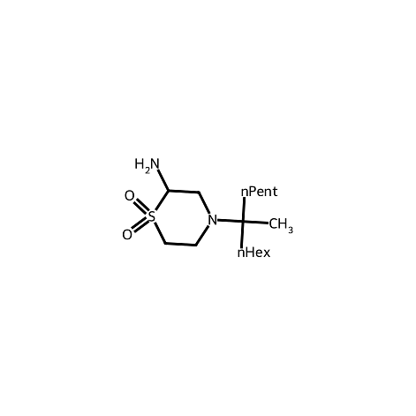 CCCCCCC(C)(CCCCC)N1CCS(=O)(=O)C(N)C1